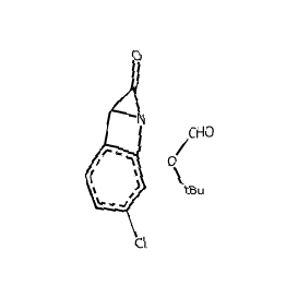 CC(C)(C)OC=O.O=C1C2c3ccc(Cl)cc3N12